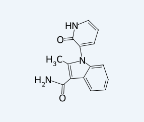 Cc1c(C(N)=O)c2ccccc2n1-c1ccc[nH]c1=O